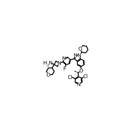 C[C@@H](Oc1ccc2c(c1)c(-c1cnc(N3CC(N)(C4CCOCC4)C3)c(F)c1)nn2C1CCCCO1)c1c(Cl)cncc1Cl